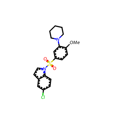 COc1ccc(S(=O)(=O)n2ccc3cc(Cl)ccc32)cc1N1CCCCC1